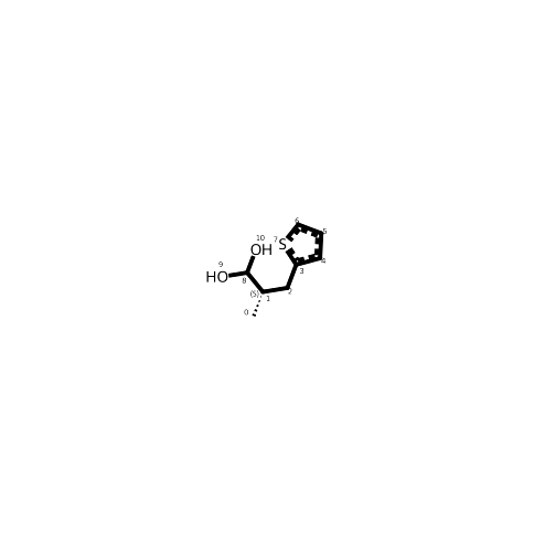 C[C@@H](Cc1cccs1)C(O)O